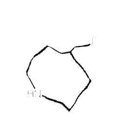 F[C]1CCNCC1